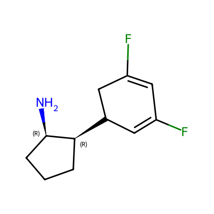 N[C@@H]1CCC[C@@H]1C1C=C(F)C=C(F)C1